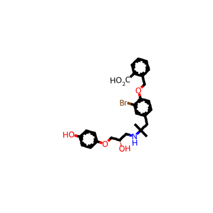 CC(C)(Cc1ccc(OCc2ccccc2C(=O)O)c(Br)c1)NC[C@H](O)COc1ccc(O)cc1